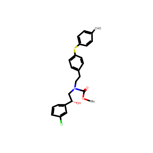 CC(C)(C)OC(=O)N(CCc1ccc(Sc2ccc(C=O)cc2)cc1)C[C@H](O)c1cccc(Cl)c1